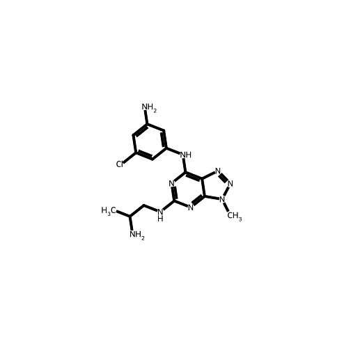 CC(N)CNc1nc(Nc2cc(N)cc(Cl)c2)c2nnn(C)c2n1